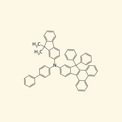 CC1(C)c2ccccc2-c2ccc(N(c3ccc(-c4ccccc4)cc3)c3ccc4c(c3)C(c3ccccc3)(c3ccccc3)c3c-4c4ccccc4c4ccccc34)cc21